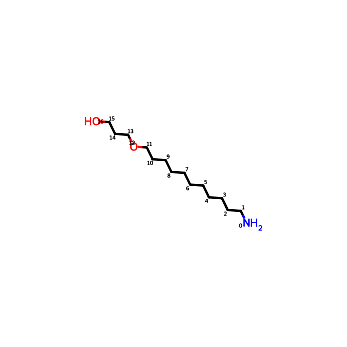 NCCCCCCCCCCCOCCCO